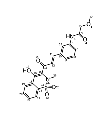 COCC(=O)Nc1cccc(/C=C/C(=O)C2=C(O)c3ccccc3S(=O)(=O)N2C)c1